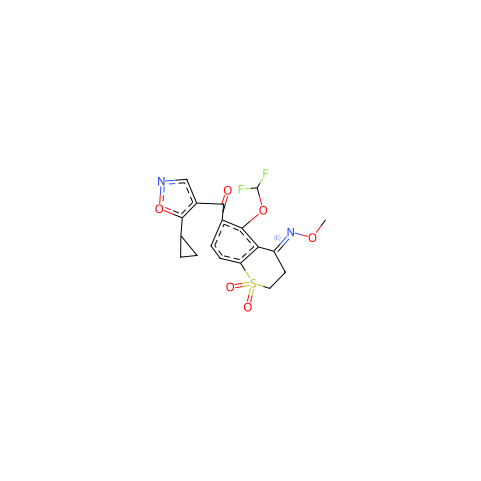 CO/N=C1\CCS(=O)(=O)c2ccc(C(=O)c3cnoc3C3CC3)c(OC(F)F)c21